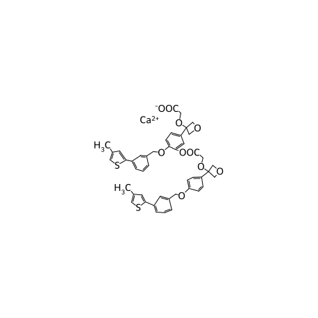 Cc1csc(-c2cccc(COc3ccc(C4(OCC(=O)[O-])COC4)cc3)c2)c1.Cc1csc(-c2cccc(COc3ccc(C4(OCC(=O)[O-])COC4)cc3)c2)c1.[Ca+2]